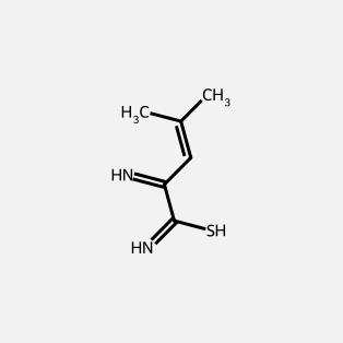 CC(C)=CC(=N)C(=N)S